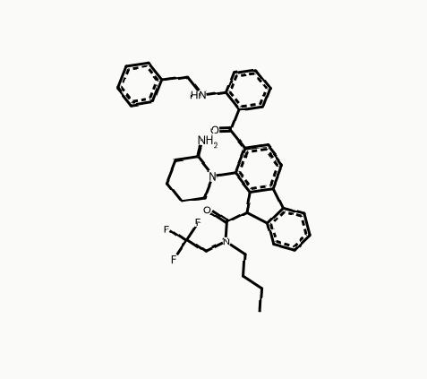 CCCCN(CC(F)(F)F)C(=O)C1c2ccccc2-c2ccc(C(=O)c3ccccc3NCc3ccccc3)c(N3CCCCC3N)c21